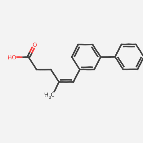 CC(=Cc1cccc(-c2ccccc2)c1)CCC(=O)O